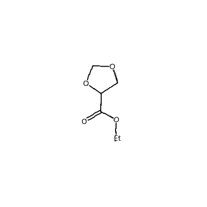 CCOC(=O)C1COCO1